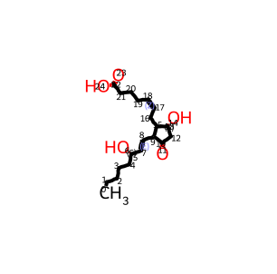 CCCCC[C@H](O)/C=C/C1C(=O)C[C@H](O)C1C/C=C\CCCC(=O)O